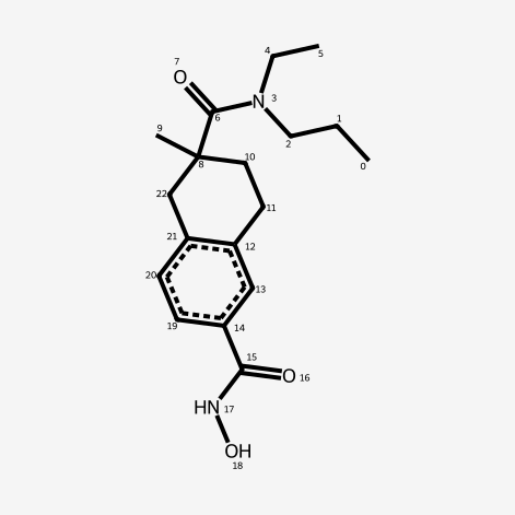 CCCN(CC)C(=O)C1(C)CCc2cc(C(=O)NO)ccc2C1